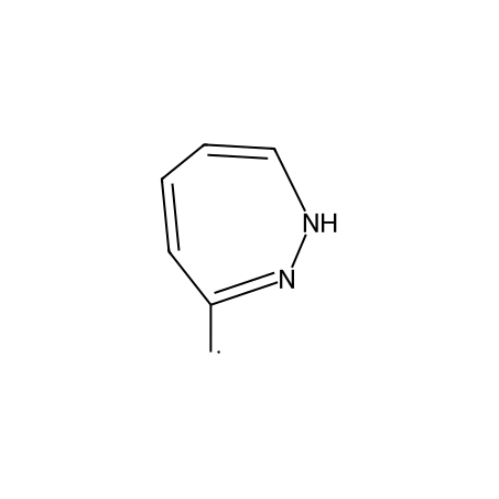 [CH2]C1=NNC=CC=C1